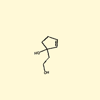 OCCC1(O)C=CCC1